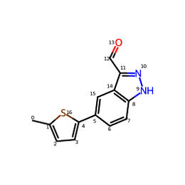 Cc1ccc(-c2ccc3[nH]nc(C=O)c3c2)s1